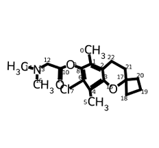 Cc1c2c(c(C)c(Cl)c1OC(=O)CN(C)C)OC1(CCC1)CC2